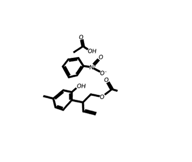 C=CC(COC(C)=O)c1ccc(C)cc1O.CC(=O)O.O=[N+]([O-])c1ccccc1